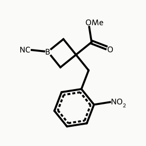 COC(=O)C1(Cc2ccccc2[N+](=O)[O-])CB(C#N)C1